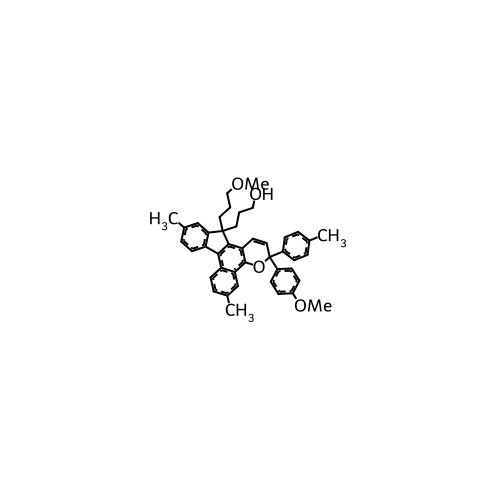 COCCCC1(CCCO)c2cc(C)ccc2-c2c1c1c(c3cc(C)ccc23)OC(c2ccc(C)cc2)(c2ccc(OC)cc2)C=C1